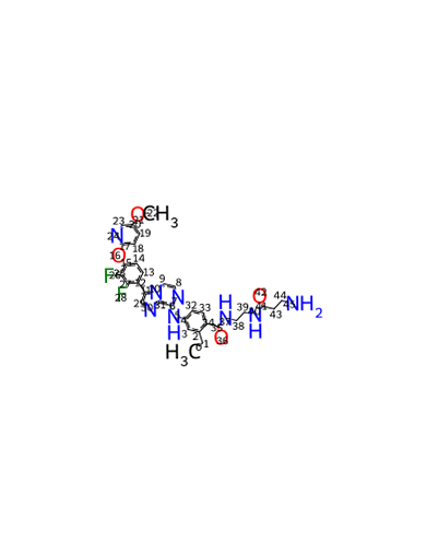 CCc1cc(Nc2nccn3c(-c4ccc(Oc5ccc(OC)cn5)c(F)c4F)cnc23)ccc1C(=O)NCCNC(=O)CCN